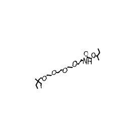 CCC(C)OCC(=O)NCCOCCOCCOCCOCC(C)(CC)CC